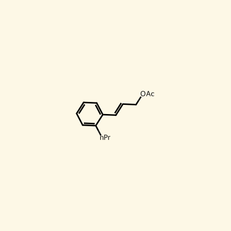 CCCc1ccccc1C=CCOC(C)=O